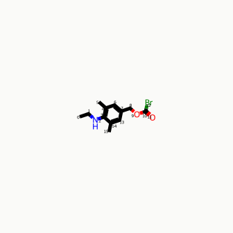 CCNc1c(C)cc(COC(=O)Br)cc1C